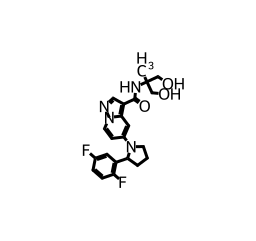 CC(CO)(CO)NC(=O)c1cnn2ccc(N3CCCC3c3cc(F)ccc3F)cc12